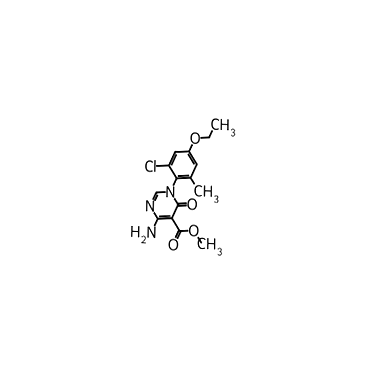 CCOc1cc(C)c(-n2cnc(N)c(C(=O)OC)c2=O)c(Cl)c1